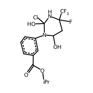 CC(C)OC(=O)c1cccc(N2C(O)CC(F)(C(F)(F)F)NC2(O)Cl)c1